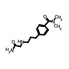 CN(C)C(=O)c1ccc(CCCNCC(N)=O)cc1